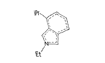 CCn1cc2cccc(C(C)C)c2c1